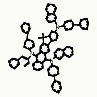 C=C/C(=C\c1ccccc1)N(c1ccc(-c2ccccc2)cc1)c1c2ccccc2c(N(c2ccc(-c3ccccc3)cc2)c2ccc3ccccc3c2)c2cc3c(cc12)C(C)(C)c1cc(N(c2ccc(-c4ccccc4)cc2)c2ccc4ccccc4c2)ccc1-3